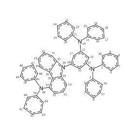 c1ccc(N(c2ccccc2)c2cc(N(c3ccccc3)c3ccccc3)cc(-n3c4ccccc4c4c(N(c5ccccc5)c5ccccc5)cccc43)c2)cc1